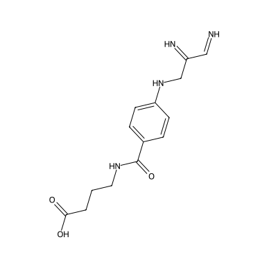 N=CC(=N)CNc1ccc(C(=O)NCCCC(=O)O)cc1